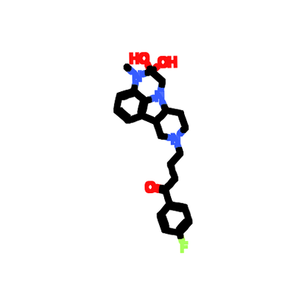 CN1c2cccc3c2N(CC1(O)O)C1CCN(CCCC(=O)c2ccc(F)cc2)CC31